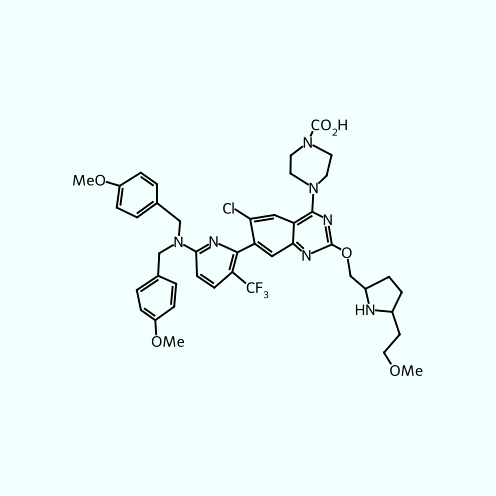 COCCC1CCC(COc2nc(N3CCN(C(=O)O)CC3)c3cc(Cl)c(-c4nc(N(Cc5ccc(OC)cc5)Cc5ccc(OC)cc5)ccc4C(F)(F)F)cc3n2)N1